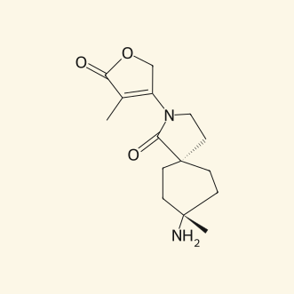 CC1=C(N2CC[C@]3(CC[C@@](C)(N)CC3)C2=O)COC1=O